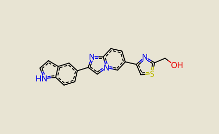 OCc1nc(-c2ccc3nc(-c4ccc5[nH]ccc5c4)cn3c2)cs1